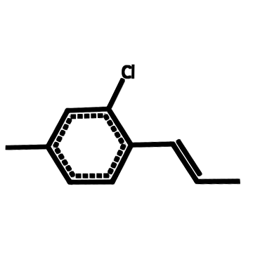 C/C=C/c1ccc(C)cc1Cl